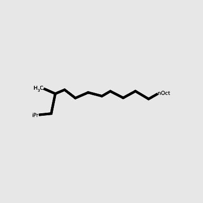 CCCCCCCCCCCCCCCCC(C)CC(C)C